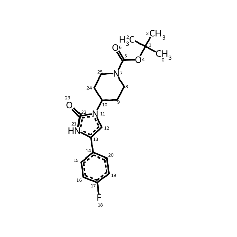 CC(C)(C)OC(=O)N1CCC(n2cc(-c3ccc(F)cc3)[nH]c2=O)CC1